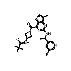 Cc1csc2c(C(=O)N3CC(NC(=O)C(C)(C)C)C3)nc(NC(C)c3cncc(F)c3)nc12